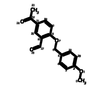 COc1ccc(COc2ccc(C(C)=O)cc2C=O)cc1